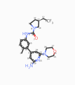 Cc1ccc(NC(=O)N2CC[C@@H](CC(F)(F)F)C2)cc1-c1cc(N)nc(N2CCOCC2)c1